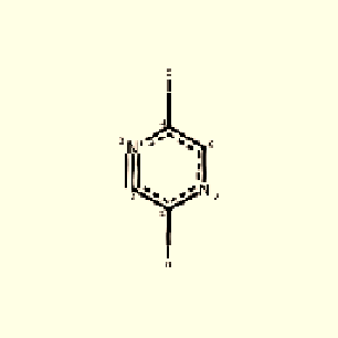 Ic1c#[n+]c(I)cn1